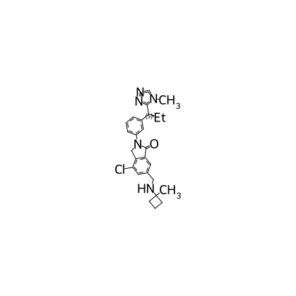 CC[C@@H](c1cccc(N2Cc3c(Cl)cc(CNC4(C)CCC4)cc3C2=O)c1)c1nncn1C